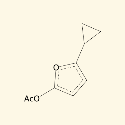 CC(=O)Oc1ccc(C2CC2)o1